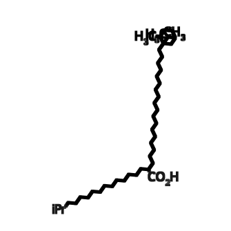 CC(C)CCCCCCCCCCCCCC(CCCCCCCCCCCCCCCCCCC12CC(CCC1C)C2(C)C)C(=O)O